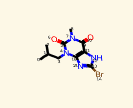 CC(C)Cn1c(=O)n(C)c(=O)c2[nH]c(Br)nc21